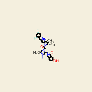 C[C@@H]1CN(CC(=O)N2CC(C)(C)c3nnc(Cc4ccc(F)cc4F)cc32)[C@@H](CN2Cc3ccc(O)cc3C2=O)CN1